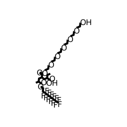 CCC(CC(CC(C)C(=O)OCCC(F)(F)C(F)(F)C(F)(F)C(F)(F)C(F)(F)C(F)(F)F)C(=O)OCCCOCCCOCCCOCCCOCCCOCCCO)C(=O)O